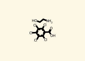 NCCO.O=C(O)c1c(Cl)c(Cl)c(Cl)c(Cl)c1Cl